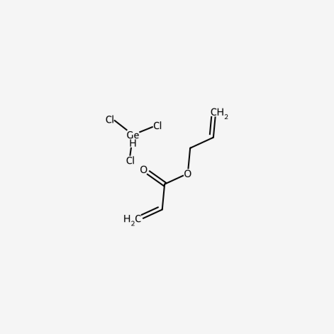 C=CCOC(=O)C=C.[Cl][GeH]([Cl])[Cl]